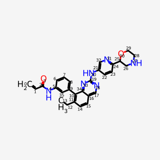 C=CC(=O)Nc1cccc(-c2c(CC)ccc3cnc(Nc4ccc(C5CNCCO5)nc4)nc23)c1